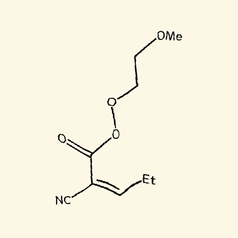 CCC=C(C#N)C(=O)OOCCOC